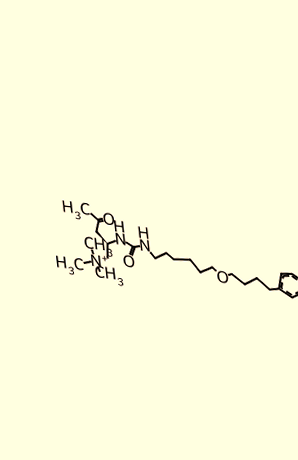 CC(=O)C[C@H](C[N+](C)(C)C)NC(=O)NCCCCCCOCCCCc1ccccc1